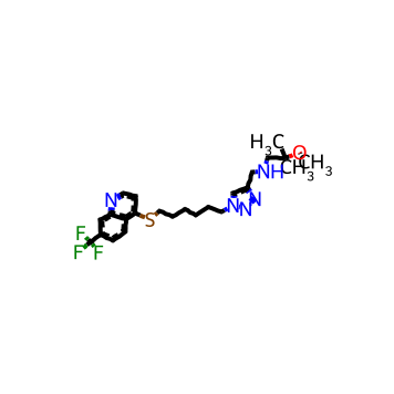 COC(C)(C)CNCc1cn(CCCCCCSc2ccnc3cc(C(F)(F)F)ccc23)nn1